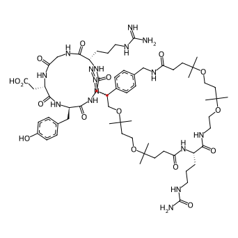 CC(C)(CCOC(C)(C)CCC(=O)N[C@@H](CCCNC(N)=O)C(=O)NCCOC(C)(C)CCOC(C)(C)CCC(=O)NCc1ccc(C[C@@H]2NC(=O)[C@@H](Cc3ccc(O)cc3)NC(=O)[C@H](CC(=O)O)NC(=O)CNC(=O)[C@H](CCCNC(=N)N)NC2=O)cc1)OCCN=[N+]=[N-]